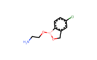 NCCOB1OCc2cc(Cl)ccc21